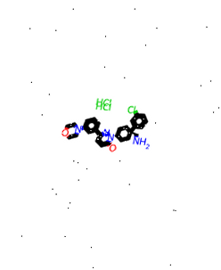 Cl.Cl.NC[C@]1(c2cccc(Cl)c2)CC[C@@H](n2nc(-c3cccc(N4CCOCC4)c3)ccc2=O)CC1